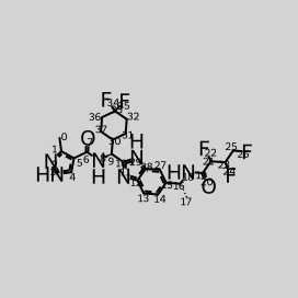 Cc1n[nH]cc1C(=O)N[C@H](c1nc2ccc([C@@H](C)NC(=O)C(F)C(F)CF)cc2[nH]1)C1CCC(F)(F)CC1